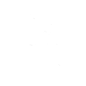 ClN1Cc2ccccc2-n2c(nnc2C2CCC(c3ncco3)CC2)C1